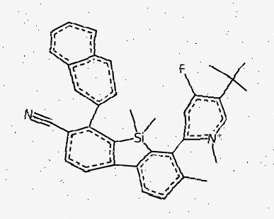 Cc1ccc2c(c1-c1cc(F)c(C(C)(C)C)c[n+]1C)[Si](C)(C)c1c-2ccc(C#N)c1-c1ccc2ccccc2c1